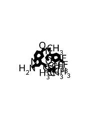 CN(C(=O)c1ccc2nc(N)cc(CO[Si](C)(C)C(C)(C)C)c2c1)C1COc2cc(C(F)(F)F)ccc21